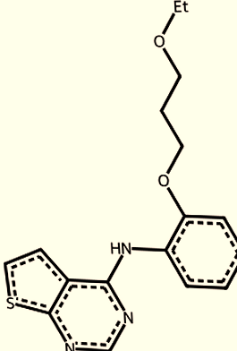 CCOCCCOc1ccccc1Nc1ncnc2sccc12